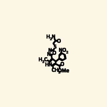 COC(=O)C1=C(C)NC(C)=C(c2nnc(SCC(N)=O)o2)C1c1cccc([N+](=O)[O-])c1